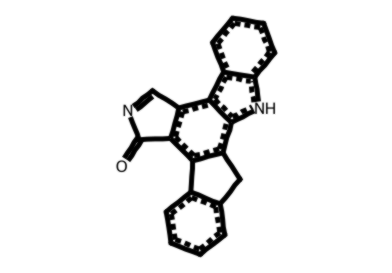 O=C1N=Cc2c1c1c(c3[nH]c4ccccc4c23)Cc2ccccc2-1